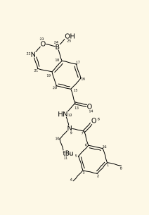 Cc1cc(C)cc(C(=O)N(CC(C)(C)C)NC(=O)c2ccc3c(c2)C=NOB3O)c1